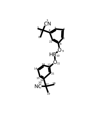 CC(C)(C#N)c1cccc(OBOc2cccc(C(C)(C)C#N)c2)c1